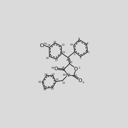 O=C1OC(=C(c2ccccc2)c2ccc(Cl)cc2)C(=O)N1Cc1ccccc1